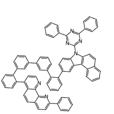 c1ccc(-c2ccc3ccc4c(-c5ccccc5-c5cccc(-c6cccc(-c7ccccc7-c7ccc8c(c7)c7c9ccccc9ccc7n8-c7nc(-c8ccccc8)nc(-c8ccccc8)n7)c6)c5)ccnc4c3n2)cc1